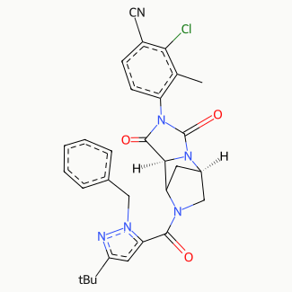 Cc1c(N2C(=O)[C@@H]3C4C[C@H](CN4C(=O)c4cc(C(C)(C)C)nn4Cc4ccccc4)N3C2=O)ccc(C#N)c1Cl